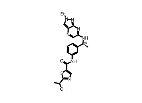 CCn1cc2ncc(N[C@@H](C)c3cccc(NC(=O)c4cnc(C(C)O)s4)c3)nc2n1